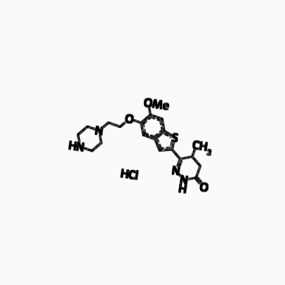 COc1cc2sc(C3=NNC(=O)CC3C)cc2cc1OCCN1CCNCC1.Cl